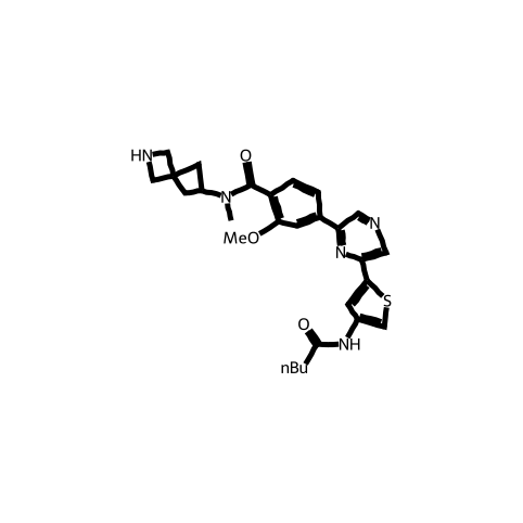 CCCCC(=O)Nc1csc(-c2cncc(-c3ccc(C(=O)N(C)C4CC5(CNC5)C4)c(OC)c3)n2)c1